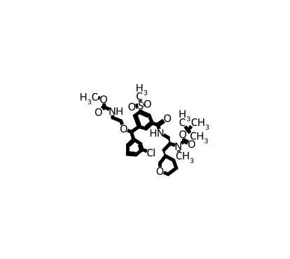 COC(=O)NCCOC(c1cccc(Cl)c1)c1cc(C(=O)NC[C@H](C[C@H]2CCCOC2)N(C)C(=O)OC(C)(C)C)cc(S(C)(=O)=O)c1